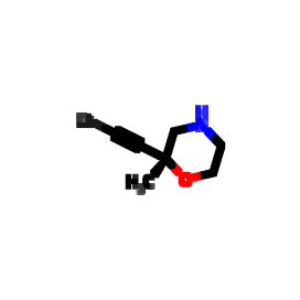 CCC#C[C@]1(C)CNCCO1